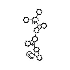 c1ccc(-c2cc(-c3ccccc3)nc(-n3c4ccccc4c4cc(-c5ccc6c(c5)c5ccccc5n6-c5ccc6c(c5)C5(c7ccccc7-6)C6CC7CC(C6)CC5C7)ccc43)n2)cc1